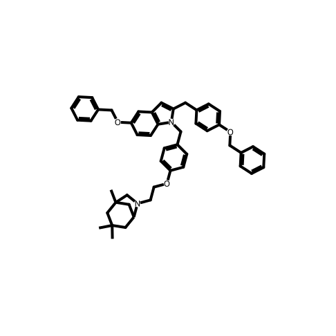 CC1(C)CC2CC(C)(CN2CCOc2ccc(Cn3c(Cc4ccc(OCc5ccccc5)cc4)cc4cc(OCc5ccccc5)ccc43)cc2)C1